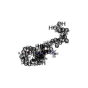 COC1CC(OC2C(C)OC(OC3C(C)OC(OC4CC[C@@]5(C)C(=CC[C@]6(O)C5C[C@@H](OC(=O)/C=C(\C)C(C)C5[C@]7(O)CC[C@@](O)(C(C)=O)[C@@]5(C)[C@H](OC(=O)/C=C(\C)C(C)C)CC5[C@@]8(C)CCC(OC9CC(OC)C(OC%10CC(OC)C(OC%11CC(OC)C(OC%12CC(CO)C(O)C(C)O%12)C(C)O%11)C(C)O%10)C(C)O9)CC8=CC[C@]57O)[C@@]5(C)[C@]6(O)CC[C@@]5(O)C(C)=O)C4)CC3OC)CC2OC)OC(C)C1OC1CC(CO)C(O)C(C)O1